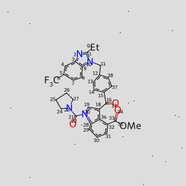 CCc1nc2cc(C(F)(F)F)ccc2n1Cc1ccc(C(=O)c2cn(C(=O)N3CCCC3)c3cccc(C(=O)OC)c23)cc1